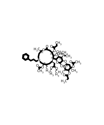 CCC(=O)O[C@@H]1CC(=O)O[C@H](C)CCN(CCCc2ccccc2)C[C@H](OC(C)=O)[C@H](C)C[C@H](CC(OC)OC)[C@H]([C@@H]2O[C@H](C)[C@@H](O[C@@H]3C[C@@](C)(OC(C)=O)[C@@H](OC(=O)CC)[C@H](C)O3)[C@H](N(C)C)[C@H]2O)[C@@H]1OC